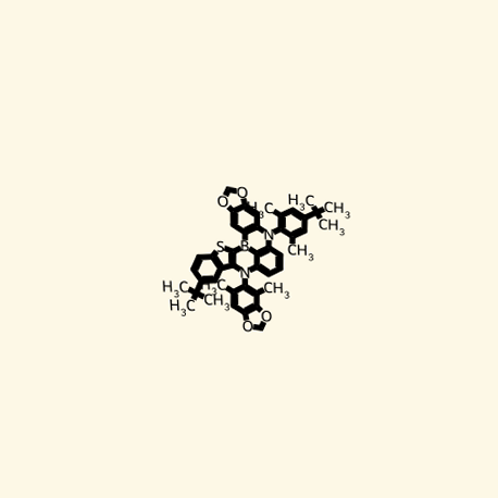 Cc1cc(C(C)(C)C)cc(C)c1N1c2cc3c(cc2B2c4sc5ccc(C(C)(C)C)cc5c4N(c4c(C)cc5c(c4C)OCO5)c4cccc1c42)OCO3